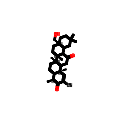 C[C@@H]1C(=O)C(C#N)=C[C@@]2(C)C1CC[C@]1(C)C2CC(=O)C2C3CC(C)(C)CC[C@]3(CO)CC[C@]21C